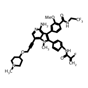 C=C(F)C(=O)Nc1ccc(-c2c(-c3ccc(C(=O)NCC(F)(F)F)c(OC)c3)c3c(N)ncc(C#CCOC4CCN(C)CC4)c3n2C)cc1